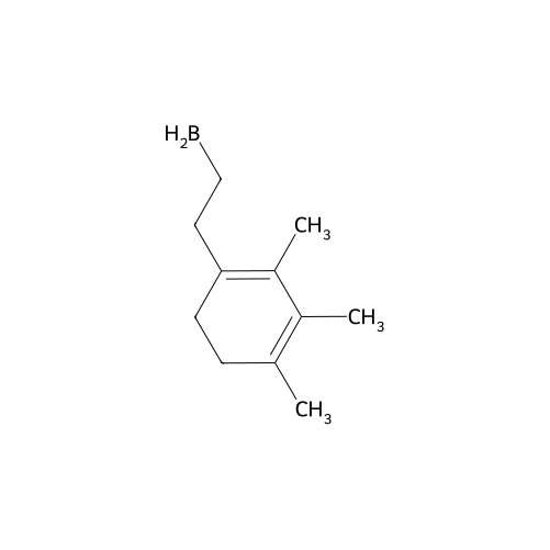 BCCC1=C(C)C(C)=C(C)CC1